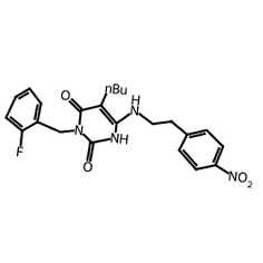 CCCCc1c(NCCc2ccc([N+](=O)[O-])cc2)[nH]c(=O)n(Cc2ccccc2F)c1=O